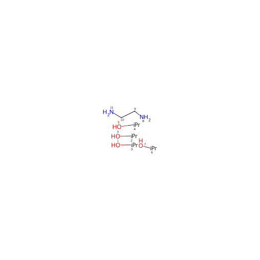 CC(C)O.CC(C)O.CC(C)O.CC(C)O.NCCN